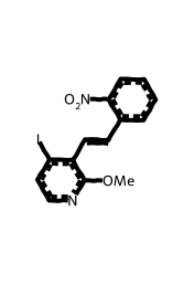 COc1nccc(I)c1C=Cc1ccccc1[N+](=O)[O-]